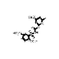 COc1cc(C)nc(NC(=O)NS(=O)(=O)c2cc(C(=O)O)ccc2C(=O)O)n1